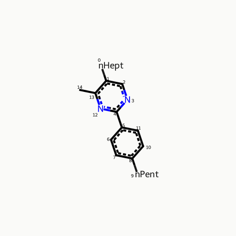 CCCCCCCc1cnc(-c2ccc(CCCCC)cc2)nc1C